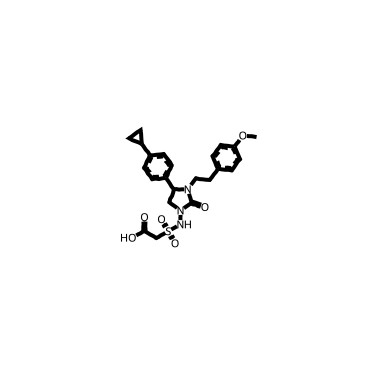 COc1ccc(CCN2C(=O)N(NS(=O)(=O)CC(=O)O)CC2c2ccc(C3CC3)cc2)cc1